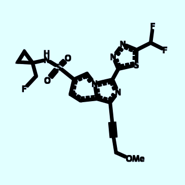 COCC#Cc1nc(-c2nnc(C(F)F)s2)n2cc(S(=O)(=O)NC3(CF)CC3)ccc12